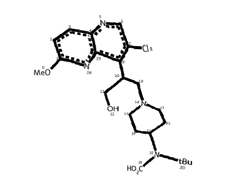 COc1ccc2ncc(Cl)c(C(CO)CN3CCC(N(C(=O)O)C(C)(C)C)CC3)c2n1